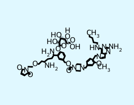 CCCCCNc1nc(N)nc2ccn(Cc3ccc(CN4CCN(C(=O)OCc5ccc(O[C@@H]6O[C@H](C(=O)O)[C@@H](O)[C@H](O)[C@H]6O)c(C(N)CCC(N)CCOCCN6C(=O)C=CC6=O)c5)CC4)cc3OC)c12